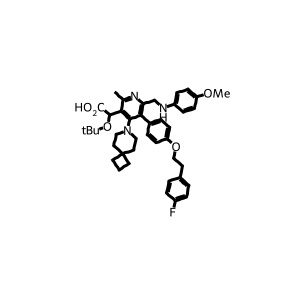 COc1ccc(NCc2nc(C)c(C(OC(C)(C)C)C(=O)O)c(N3CCC4(CCC4)CC3)c2-c2ccc(OCCc3ccc(F)cc3)cc2)cc1